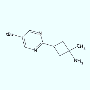 CC1(N)CC(c2ncc(C(C)(C)C)cn2)C1